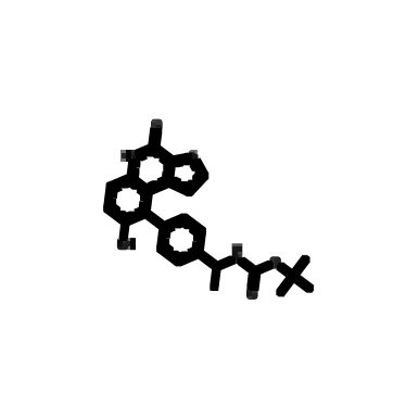 CC(NC(=O)OC(C)(C)C)c1ccc(-c2c(O)ccc3[nH]c(=O)c4sccc4c23)cc1